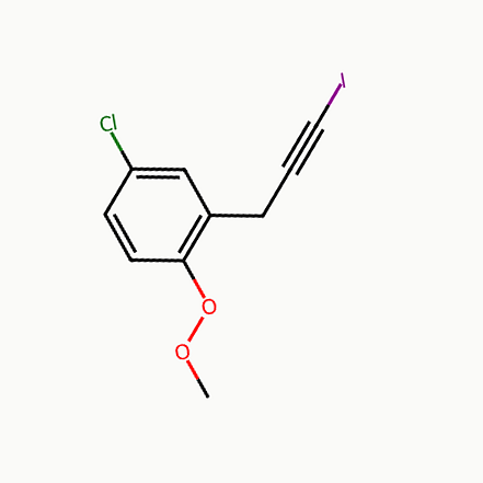 COOc1ccc(Cl)cc1CC#CI